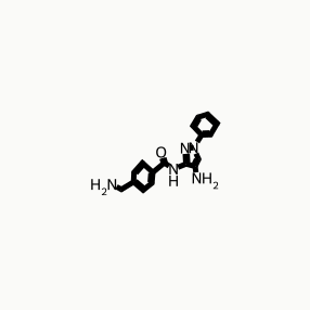 NCc1ccc(C(=O)Nc2nn(-c3ccccc3)cc2N)cc1